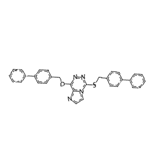 c1ccc(-c2ccc(COc3nnc(SCc4ccc(-c5ccccc5)cc4)n4ccnc34)cc2)cc1